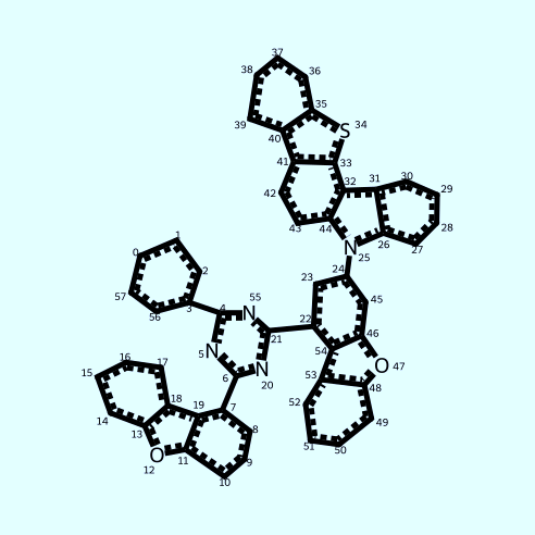 c1ccc(-c2nc(-c3cccc4oc5ccccc5c34)nc(-c3cc(-n4c5ccccc5c5c6sc7ccccc7c6ccc54)cc4oc5ccccc5c34)n2)cc1